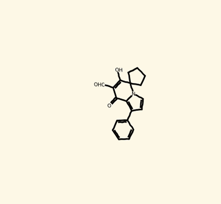 O=CC1=C(O)C2(CCCC2)n2ccc(-c3ccccc3)c2C1=O